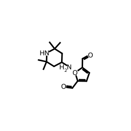 CC1(C)CC(N)CC(C)(C)N1.O=Cc1ccc(C=O)o1